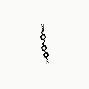 N#CC=CC1CCC(CCC2CCC(c3ccc(C#N)cc3)CC2)CC1